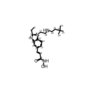 CCc1nc2cc(/C=C/C(=O)NO)ccc2n1CCNCCC(C)(C)C